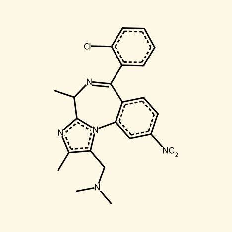 Cc1nc2n(c1CN(C)C)-c1cc([N+](=O)[O-])ccc1C(c1ccccc1Cl)=NC2C